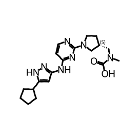 CN(C[C@H]1CCN(c2nccc(Nc3cc(C4CCCC4)[nH]n3)n2)C1)C(=O)O